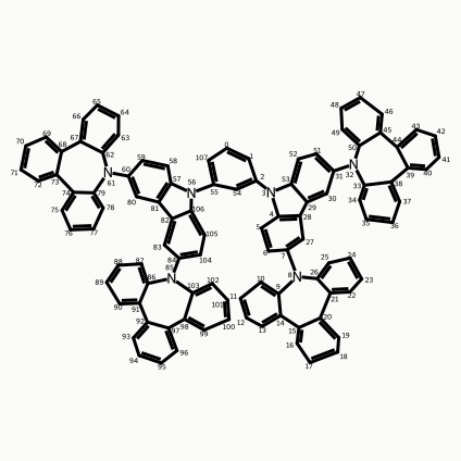 c1cc(-n2c3ccc(N4c5ccccc5-c5ccccc5-c5ccccc54)cc3c3cc(N4c5ccccc5-c5ccccc5-c5ccccc54)ccc32)cc(-n2c3ccc(N4c5ccccc5-c5ccccc5-c5ccccc54)cc3c3cc(N4c5ccccc5-c5ccccc5-c5ccccc54)ccc32)c1